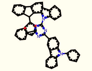 c1ccc(-c2nc(-c3ccc4c(c3)c3ccccc3n4-c3ccccc3)nc(-n3c4ccccc4c4ccc5c(c43)C(c3ccccc3)c3ccccc3-5)n2)cc1